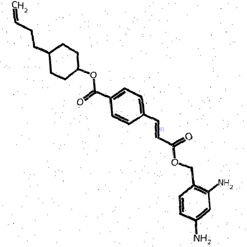 C=CCCC1CCC(OC(=O)c2ccc(/C=C/C(=O)OCc3ccc(N)cc3N)cc2)CC1